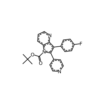 CC(C)(C)OC(=O)n1c(-c2ccncc2)c(-c2ccc(F)cc2)c2ncccc21